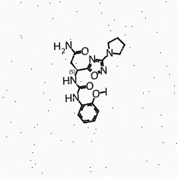 NC(=O)C[C@H](NC(=O)Nc1ccccc1OI)c1nc(N2CCCC2)no1